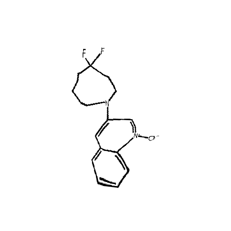 [O-][n+]1cc(N2CCCC(F)(F)CC2)cc2ccccc21